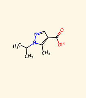 Cc1c(C(=O)O)cnn1C(C)C